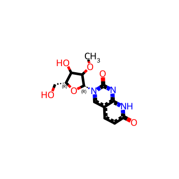 COC1C(O)[C@@H](CO)O[C@H]1n1cc2ccc(=O)[nH]c2nc1=O